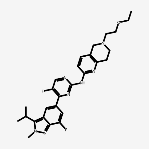 CCOCCN1CCc2nc(Nc3ncc(F)c(-c4cc(F)c5nn(C)c(C(C)C)c5c4)n3)ccc2C1